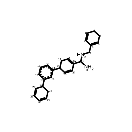 NC(NCC1=CCCC=C1)C1=CCC(c2cccc(C3C=CC=CC3)c2)C=C1